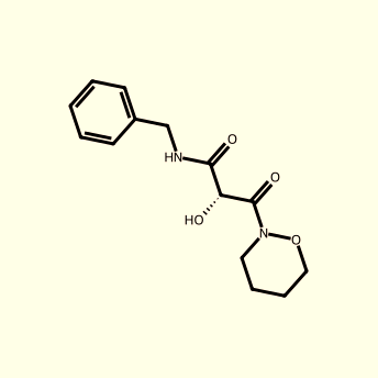 O=C(NCc1ccccc1)[C@@H](O)C(=O)N1CCCCO1